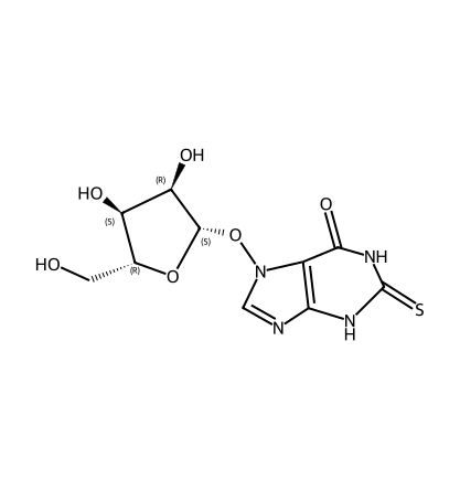 O=c1[nH]c(=S)[nH]c2ncn(O[C@@H]3O[C@H](CO)[C@@H](O)[C@H]3O)c12